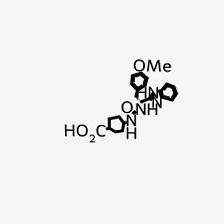 COc1ccc(C[C@@H](NC(=O)NC2CCC(C(=O)O)CC2)c2nc3ccccc3[nH]2)cc1